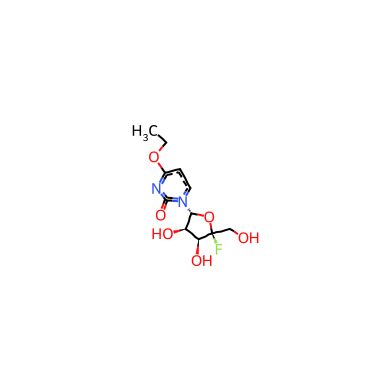 CCOc1ccn([C@@H]2O[C@](F)(CO)[C@@H](O)[C@H]2O)c(=O)n1